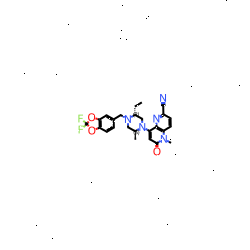 CC[C@@H]1CN(c2cc(=O)n(C)c3ccc(C#N)nc23)[C@@H](C)CN1Cc1ccc2c(c1)OC(F)(F)O2